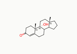 C[C@@]12CCCC1C1CCC3=CC(=O)CC[C@]3(C)[C@@]1(O)CC2